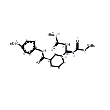 CCCCCCCCCCc1ccc(NC(=O)[C@@H]2CCCN(/C(=N/C(=O)OC(C)(C)C)NC(=O)OC(C)(C)C)C2)cc1